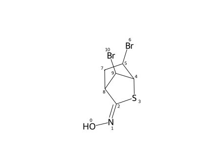 ON=C1SC2C(Br)CC1C2Br